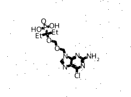 CCC(CC)(OCOCn1cnc2c(Cl)nc(N)nc21)P(=O)(O)O